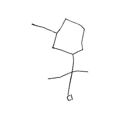 CC1CCCC(C(C)(C)Cl)C1